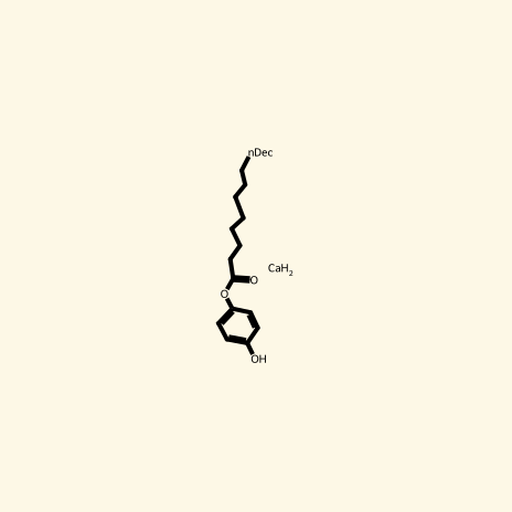 CCCCCCCCCCCCCCCCCC(=O)Oc1ccc(O)cc1.[CaH2]